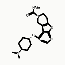 CNC(=O)N1CCc2sc3ncnc(O[C@H]4CC[C@H](N(C)C)CC4)c3c2C1